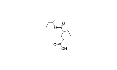 CCC(C)OC(=O)C(CC)CCC(=O)O